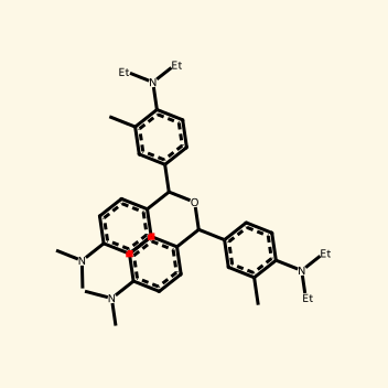 CCN(CC)c1ccc(C(OC(c2ccc(N(C)C)cc2)c2ccc(N(CC)CC)c(C)c2)c2ccc(N(C)C)cc2)cc1C